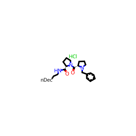 CCCCCCCCCCCCNC(=O)[C@@H]1CCCN1C(=O)[C@@H]1CCCN1Cc1ccccc1.Cl